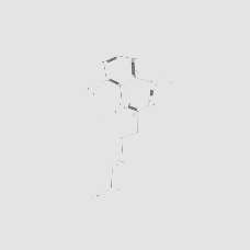 Nc1cccc2c1[n+]([O-])c(CCOCCI)n[n+]2[O-]